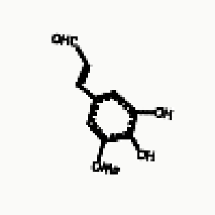 COc1cc(/C=C/C=O)cc(O)c1O